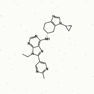 CCn1c(-c2cnc(C)nc2)nc2c(N[C@@H]3CCc4ncn(C5CC5)c4C3)ncnc21